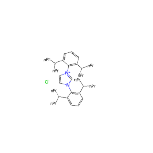 CCCC(CCC)c1cccc(C(CCC)CCC)c1-n1cc[n+](-c2c(C(CCC)CCC)cccc2C(CCC)CCC)c1.[Cl-]